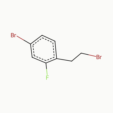 Fc1cc(Br)ccc1CCBr